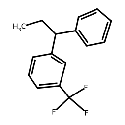 CCC(c1ccccc1)c1cccc(C(F)(F)F)c1